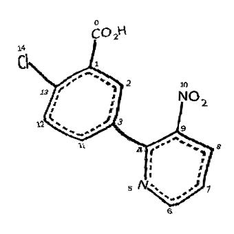 O=C(O)c1cc(-c2ncccc2[N+](=O)[O-])ccc1Cl